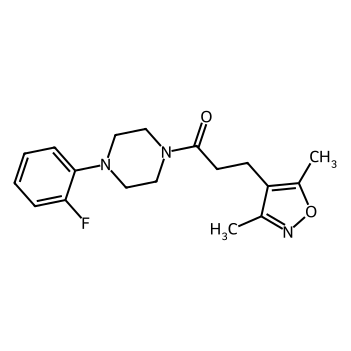 Cc1noc(C)c1CCC(=O)N1CCN(c2ccccc2F)CC1